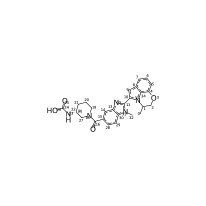 CC1COc2cccc3cc(-c4nc5cc(C(=O)N6CCC[C@@H](NC(=O)O)C6)ccc5n4C)n1c23